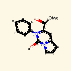 COC(=O)c1cc2cccn2c(=O)n1-c1ccccc1